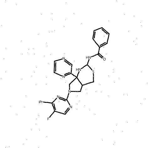 CC(C)c1nc(N2CC3CSC(NC(=O)c4ccccc4)NC3(c3cnccn3)C2)ncc1F